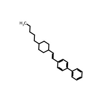 CCCCCC1CCC(C=Cc2ccc(-c3ccccc3)cc2)CC1